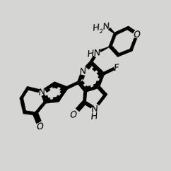 N[C@H]1COCC[C@H]1Nc1nc(-c2cc3n(c2)CCCC3=O)c2c(c1F)CNC2=O